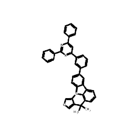 CC1(C)c2cocc2-n2c3ccc(-c4cccc(-c5cc(-c6ccccc6)nc(-c6ccccc6)n5)c4)cc3c3cccc1c32